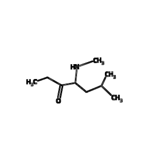 CCC(=O)C(CC(C)C)NC